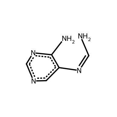 N/C=N\c1cncnc1N